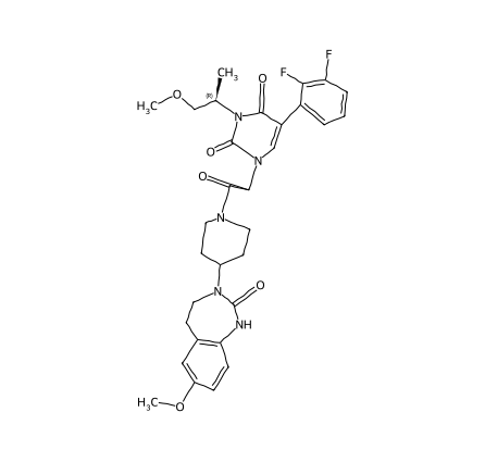 COC[C@@H](C)n1c(=O)c(-c2cccc(F)c2F)cn(CC(=O)N2CCC(N3CCc4cc(OC)ccc4NC3=O)CC2)c1=O